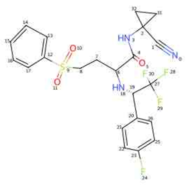 N#CC1(NC(=O)C(CCS(=O)(=O)c2ccccc2)N[C@@H](c2ccc(F)cc2)C(F)(F)F)CC1